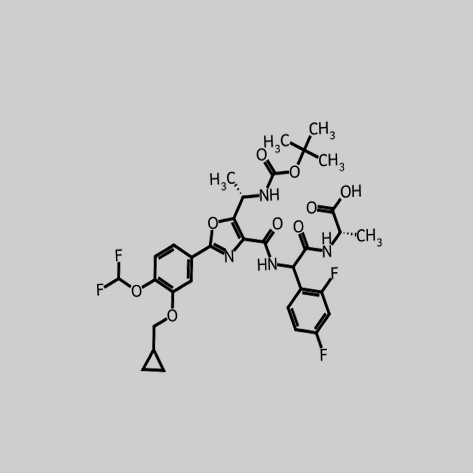 C[C@H](NC(=O)C(NC(=O)c1nc(-c2ccc(OC(F)F)c(OCC3CC3)c2)oc1[C@H](C)NC(=O)OC(C)(C)C)c1ccc(F)cc1F)C(=O)O